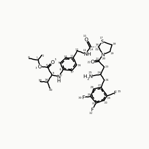 CC(C)OC(=O)C(Nc1ccc(CNC(=O)[C@@H]2SCCN2C(=O)CC(N)Cc2cc(F)c(F)cc2F)cc1)C(C)C